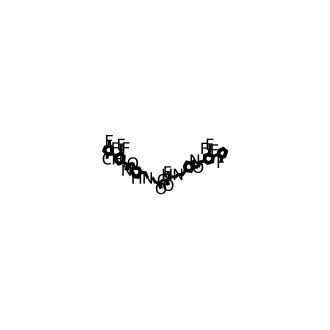 Cc1ccc(F)cc1-c1ccc(-c2nc3ccc(CNCCC(=O)OC(=O)C(F)CNCc4ccc5nc(-c6ccc(-c7ccccc7F)c(C(F)(F)F)c6)oc5c4)cc3o2)cc1C(F)(F)F